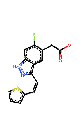 O=C(O)Cc1cc2c(/C=C\c3cccs3)n[nH]c2cc1F